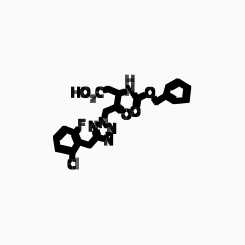 O=C(O)CC(NC(=O)OCc1ccccc1)C(=O)Cn1nnc(Cc2c(F)cccc2Cl)n1